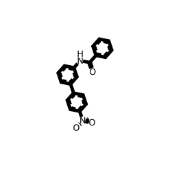 O=C(Nc1cccc(-c2ccc([N+](=O)[O-])cc2)c1)c1ccccc1